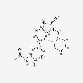 CC(=O)c1c[nH]c2ncc(-c3cnc4[nH]c(=O)n(CC5CCOCC5)c4c3)cc12